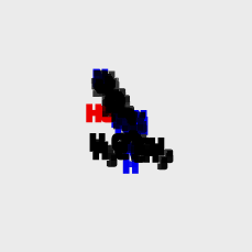 CC1(C)CC(n2nnc3cc(-c4ccc(-c5ccncc5)cc4O)nnc32)CC(C)(C)N1